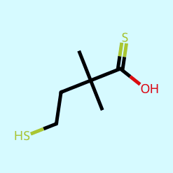 CC(C)(CCS)C(O)=S